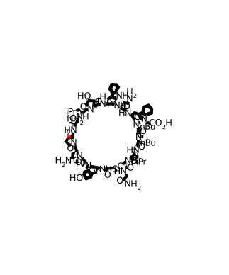 CCCC[C@H]1C(=O)N(C)[C@@H](CCCC)C(=O)N[C@@H](CC(C)C)C(=O)N[C@H](C(=O)NCC(N)=O)CSCC(=O)N[C@@H](Cc2ccc(O)cc2)C(=O)N(C)[C@@H](C)C(=O)N[C@@H](CC(N)=O)C(=O)N2CCC[C@H]2C(=O)N[C@@H](CN)C(=O)N[C@@H](CC(C)C)C(=O)N2C[C@H](O)C[C@H]2C(=O)N[C@@H](Cc2c[nH]c3ccccc23)C(=O)N[C@@H](CCN)C(=O)NC(Cc2cn(CC(=O)O)c3ccccc23)C(=O)N1C